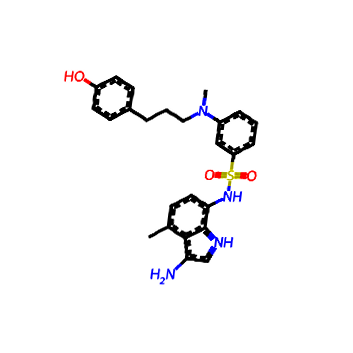 Cc1ccc(NS(=O)(=O)c2cccc(N(C)CCCc3ccc(O)cc3)c2)c2[nH]cc(N)c12